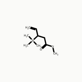 C=CC(CC(=O)OC)[Si](C)(C)C